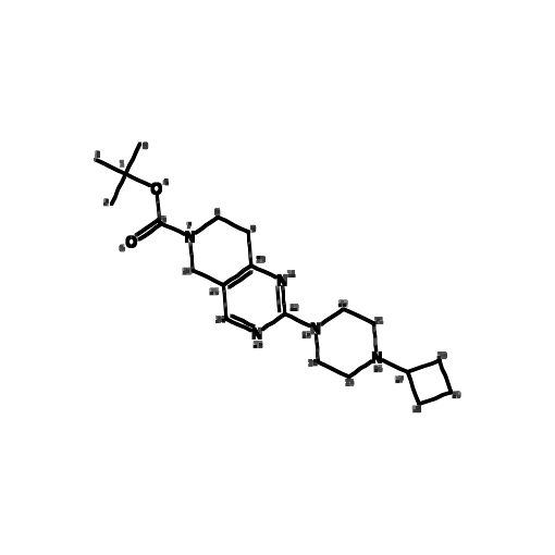 CC(C)(C)OC(=O)N1CCc2nc(N3CCN(C4CCC4)CC3)ncc2C1